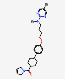 CCc1cnc(N(CC)CCCCOc2ccc(C3=CCC(C(=O)N4CC=CC4)CC3)cc2)nc1